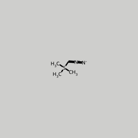 CS(C)(C)C=[N+]=[N-]